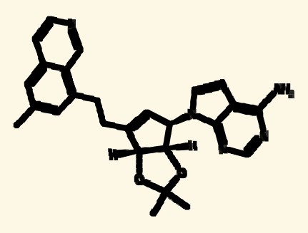 Cc1cc(CCC2=C[C@@H](n3ccc4c(N)ncnc43)[C@@H]3OC(C)(C)O[C@H]23)c2cnccc2c1